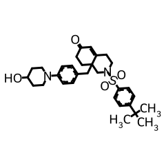 CC(C)(C)c1ccc(S(=O)(=O)N2CCC3=CC(=O)CCC3(Cc3ccc(N4CCC(O)CC4)cc3)C2)cc1